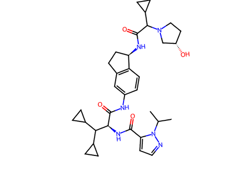 CC(C)n1nccc1C(=O)N[C@H](C(=O)Nc1ccc2c(c1)CC[C@H]2NC(=O)C(C1CC1)N1CC[C@H](O)C1)C(C1CC1)C1CC1